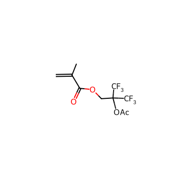 C=C(C)C(=O)OCC(OC(C)=O)(C(F)(F)F)C(F)(F)F